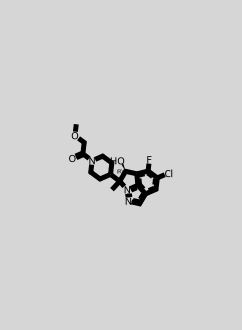 COCC(=O)N1CCC(C2(C)[C@H](O)c3c(F)c(Cl)cc4cnn2c34)CC1